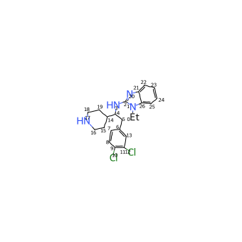 CCn1c(NC(Cc2ccc(Cl)c(Cl)c2)C2CCNCC2)nc2ccccc21